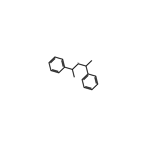 CC([C]C(C)c1ccccc1)c1ccccc1